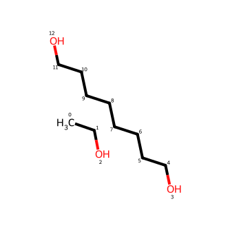 CCO.OCCCCCCCCO